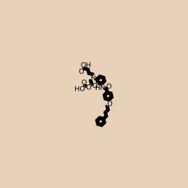 O=C(O)CCCN1CC(OC(=O)O)Oc2c(NC(=O)c3ccc(OCCCCc4ccccc4)cc3)cccc21